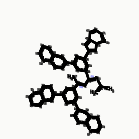 C=C(C)/N=C(\C=C(/N)c1cc(-c2ccc3ncccc3c2)cc(-c2ccc3ncccc3c2)c1)c1cc(C2=CC3N=CC=CC3=C2)cc(-c2ccc3ncccc3c2)c1